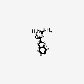 NC(N)=NC(=O)C1CC2C=CC=CC2S1